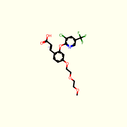 COCCOCCOc1ccc(/C=C/C(=O)O)c(Oc2ncc(C(F)(F)F)cc2Cl)c1